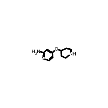 Nc1cc(OC2CCNCC2)ccn1